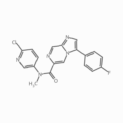 CN(C(=O)c1cn2c(-c3ccc(F)cc3)cnc2cn1)c1ccc(Cl)nc1